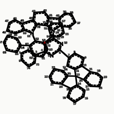 c1ccc(-c2nc(-c3ccc4c(c3)C3(c5ccccc5-c5ccccc53)c3ccccc3-4)nc(-n3c4ccccc4c4ccc5c6ccccc6n(-c6c(-c7ccccc7)cccc6-c6ccccc6)c5c43)n2)cc1